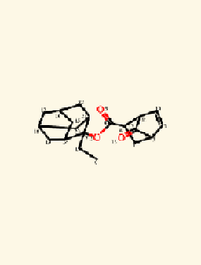 CCC1(OC(=O)C2CC3C=CC2C3=O)C2CC3CC(C2)CC1C3